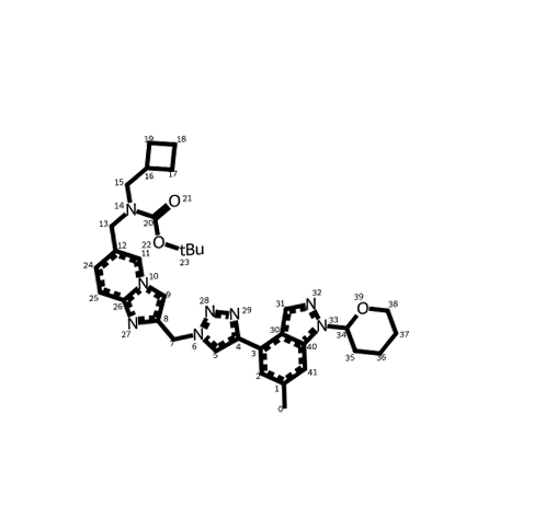 Cc1cc(-c2cn(Cc3cn4cc(CN(CC5CCC5)C(=O)OC(C)(C)C)ccc4n3)nn2)c2cnn(C3CCCCO3)c2c1